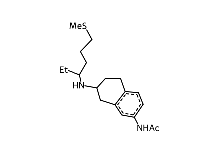 CCC(CCCSC)NC1CCc2ccc(NC(C)=O)cc2C1